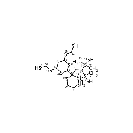 CS(C)(S)C(CC1(C2SC(SCS)CC(SCS)S2)SCCCS1)S(C)(C)S